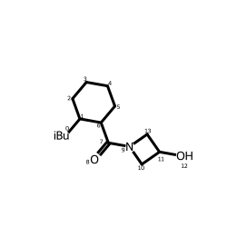 CCC(C)C1CCCCC1C(=O)N1CC(O)C1